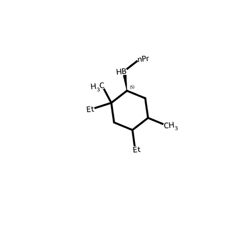 CCCB[C@H]1CC(C)C(CC)CC1(C)CC